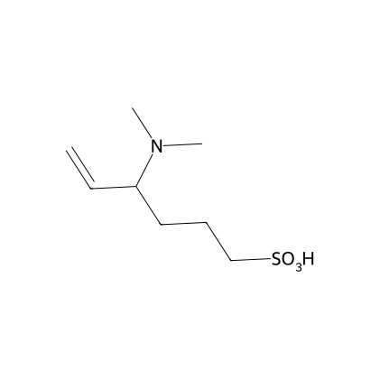 C=CC(CCCS(=O)(=O)O)N(C)C